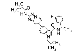 CC(C)Cn1cc(C(=O)N[C@@H](C)c2cccc(F)c2)c2cc(-c3ccn4nc(NC(=O)C(C)C)nc4c3)ccc21